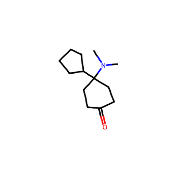 CN(C)C1(C2CCCC2)CCC(=O)CC1